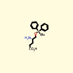 CC(C)(C)[Si](OC[C@@H](N)CCC(=O)O)(c1ccccc1)c1ccccc1